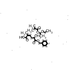 C=C(C)C(=O)OC(C)OCC.C=C(CC=C(C)C(=O)O)C(=O)OCc1ccccc1